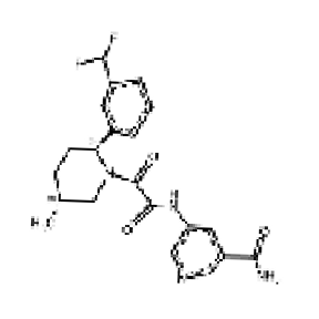 C[C@@H]1CC[C@@H](c2cccc(C(F)F)c2)N(C(=O)C(=O)Nc2cncc(C(N)=O)c2)C1